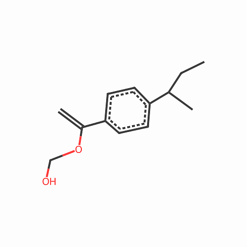 C=C(OCO)c1ccc(C(C)CC)cc1